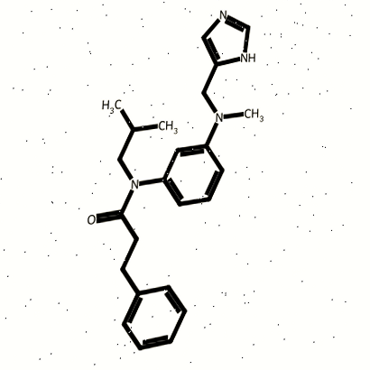 CC(C)CN(C(=O)CCc1ccccc1)c1cccc(N(C)Cc2cnc[nH]2)c1